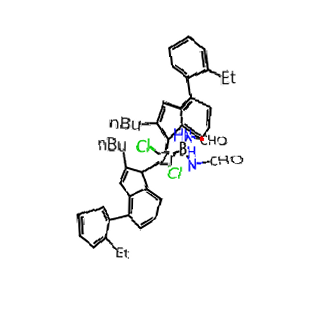 CCCCC1=Cc2c(-c3ccccc3CC)cccc2[CH]1[Zr]([Cl])([Cl])([B](NC=O)NC=O)[CH]1C(CCCC)=Cc2c(-c3ccccc3CC)cccc21